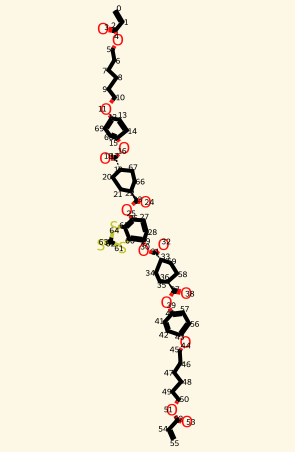 C=CC(=O)OCCCCCCOc1ccc(OC(=O)[C@H]2CC[C@H](C(=O)Oc3ccc(OC(=O)[C@H]4CC[C@H](C(=O)Oc5ccc(OCCCCCCOC(=O)C=C)cc5)CC4)c4sc(=S)sc34)CC2)cc1